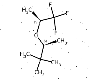 C[C@H](O[C@@H](C)C(F)(F)F)C(C)(C)C